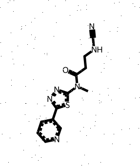 CN(C(=O)CCNC#N)c1nnc(-c2cccnc2)s1